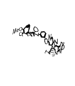 CCn1c(-c2nonc2N)nc2cnc(Oc3cccc(NC(=O)c4ccc(OC)c(Cl)c4)c3)cc21